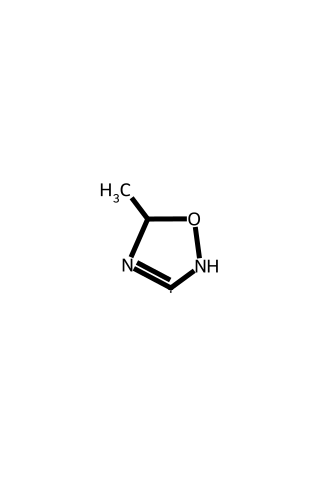 CC1N=[C]NO1